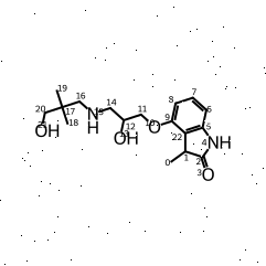 CC1C(=O)Nc2cccc(OCC(O)CNCC(C)(C)CO)c21